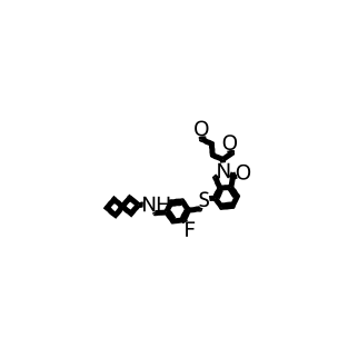 O=CCCC(C=O)N1Cc2c(SCc3ccc(CNC4CC5(CCC5)C4)cc3F)cccc2C1=O